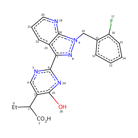 CCC(C(=O)O)c1cnc(-c2nn(Cc3ccccc3F)c3ncccc23)nc1O